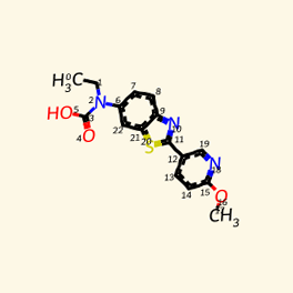 CCN(C(=O)O)c1ccc2nc(-c3ccc(OC)nc3)sc2c1